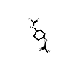 CC(C)C(=O)NC1CCC(NC(=O)C(C)C)CC1